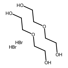 Br.Br.OCCOCCO.OCCOCCO